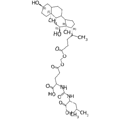 CC(C)CC(NC(=O)NC(CCC(=O)OCOC(=O)CCC(C)[C@H]1CCC2C3CCC4C[C@H](O)CC[C@]4(C)C3C[C@H](O)[C@@]21C)C(=O)O)C(=O)O